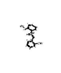 CCCSc1ccccc1NCc1ccccc1O